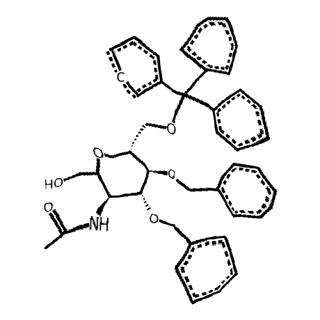 CC(=O)N[C@H]1C(O)O[C@H](COC(c2ccccc2)(c2ccccc2)c2ccccc2)[C@@H](OCc2ccccc2)[C@@H]1OCc1ccccc1